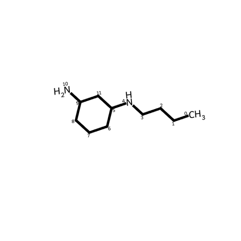 CCCCNC1CCCC(N)C1